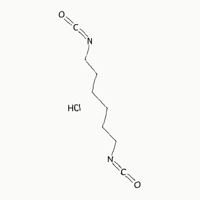 Cl.O=C=NCCCCCCN=C=O